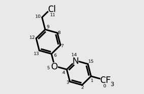 FC(F)(F)c1ccc(Oc2ccc(CCl)cc2)nc1